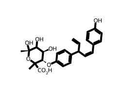 C=CC(/C=C\c1ccc(O)cc1)c1ccc(O[C@H]2[C@H](O)C(O)[C@@](C)(O)OC2(C)C(=O)O)cc1